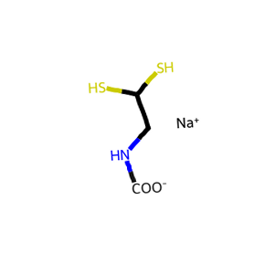 O=C([O-])NCC(S)S.[Na+]